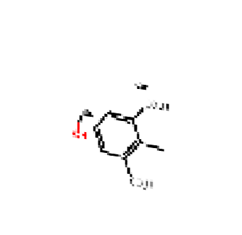 CCCCO.Cc1c(C(=O)O)cccc1C(=O)O.[Cu]